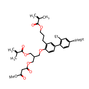 C=C(C)C(=O)OCCCc1cc(-c2ccc(CCCCCCC)cc2CC)ccc1OCC(COC(=O)CC(=O)OC)COC(=O)C(=C)C